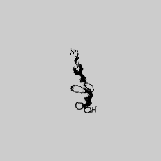 O=C(O)CCCC(=O)OCCC1CCN(CCO)CC1